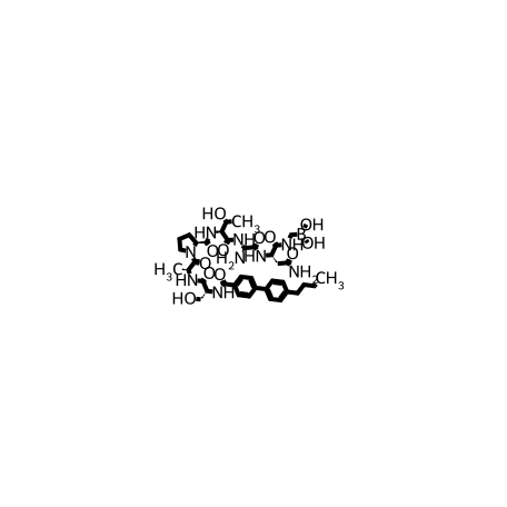 CCCCc1ccc(-c2ccc(C(=O)N[C@H](CO)C(=O)N[C@H](C)C(=O)N3CCC[C@H]3C(=O)N[C@H](C(=O)N[C@@H](N)C(=O)N[C@@H](CC(N)=O)C(=O)NCB(O)O)C(C)O)cc2)cc1